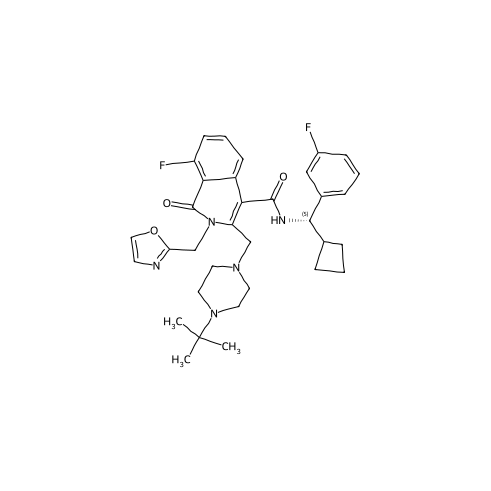 CC(C)(C)N1CCN(Cc2c(C(=O)N[C@H](c3cccc(F)c3)C3CCC3)c3cccc(F)c3c(=O)n2Cc2ncco2)CC1